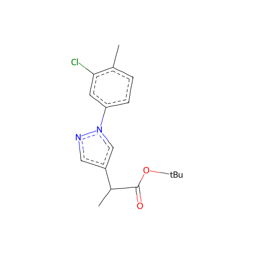 Cc1ccc(-n2cc(C(C)C(=O)OC(C)(C)C)cn2)cc1Cl